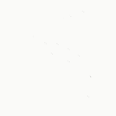 CN1CCN(C(=O)C2CCC(n3c(Nc4ccc(F)cc4F)nc4cnc(N[C@H]5CC[C@H](OCCN6CCCCC6)CC5)nc43)CC2)CC1